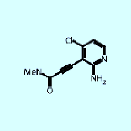 CNC(=O)C#Cc1c(Cl)ccnc1N